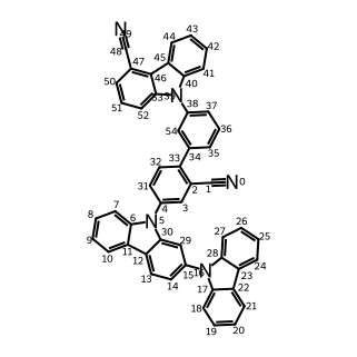 N#Cc1cc(-n2c3ccccc3c3ccc(-n4c5ccccc5c5ccccc54)cc32)ccc1-c1cccc(-n2c3ccccc3c3c(C#N)cccc32)c1